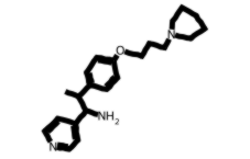 CC(c1ccc(OCCCN2CCCCC2)cc1)C(N)c1ccncc1